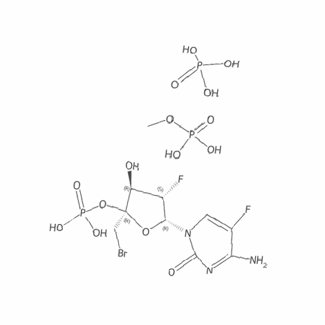 COP(=O)(O)O.Nc1nc(=O)n([C@@H]2O[C@@](CBr)(OP(=O)(O)O)[C@@H](O)[C@@H]2F)cc1F.O=P(O)(O)O